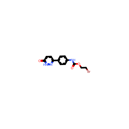 O=C(Nc1ccc(-c2ccc(=O)[nH]n2)cc1)OCCBr